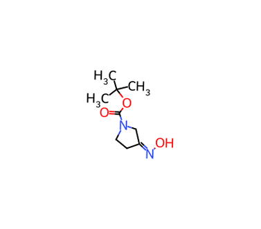 CC(C)(C)OC(=O)N1CC/C(=N/O)C1